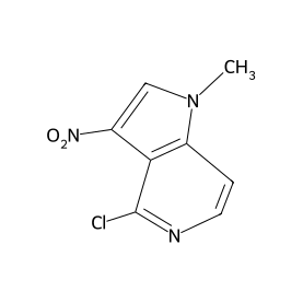 Cn1cc([N+](=O)[O-])c2c(Cl)nccc21